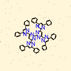 c1ccc(-c2cc(-c3ccccc3)nc(-c3cc(-c4nc(-c5ccccc5)cc(-c5ccccc5)n4)nc(-c4nc(-c5nc(-c6ccccc6)cc(-c6ccccc6)n5)cc(-c5nc(-c6ccccc6)cc(-c6ccccc6)n5)n4)n3)n2)cc1